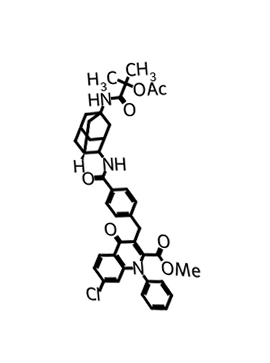 COC(=O)c1c(Cc2ccc(C(=O)NC3C4CC5C[C@@H]3CC(NC(=O)C(C)(C)OC(C)=O)(C5)C4)cc2)c(=O)c2ccc(Cl)cc2n1-c1ccccc1